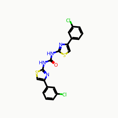 O=C(Nc1nc(-c2cccc(Cl)c2)cs1)Nc1nc(-c2cccc(Cl)c2)cs1